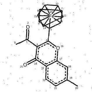 CC(=O)c1c([C]23[CH]4[CH]5[CH]6[CH]2[Fe]56432789[CH]3[CH]2[CH]7[CH]8[CH]39)oc2cc(C)ccc2c1=O